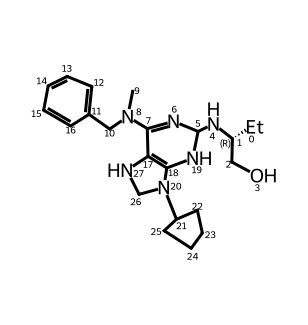 CC[C@H](CO)NC1N=C(N(C)Cc2ccccc2)C2=C(N1)N(C1CCCC1)CN2